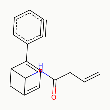 C=CCC(=O)NC1C2=CC=C(c3c#cccc3)C1C2